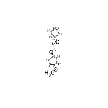 COc1ccc(OCCOc2ccccc2)cc1